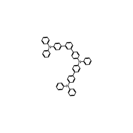 c1ccc(N(c2ccccc2)c2ccc(-c3ccc(N(c4ccccc4)c4ccc(-c5cccc(-c6ccc(N(c7ccccc7)c7ccccc7)cc6)c5)cc4)cc3)cc2)cc1